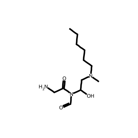 CCCCCCN(C)CC(O)N(C=O)C(=O)CN